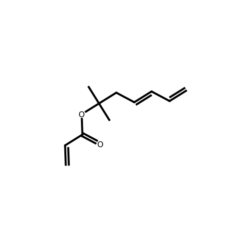 C=CC=CCC(C)(C)OC(=O)C=C